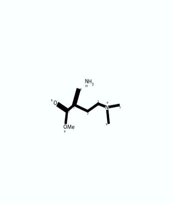 C=C(CCN(C)C)C(=O)OC.N